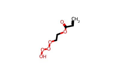 C=CC(=O)OCCOOOO